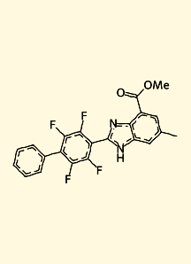 COC(=O)c1cc(C)cc2[nH]c(-c3c(F)c(F)c(-c4ccccc4)c(F)c3F)nc12